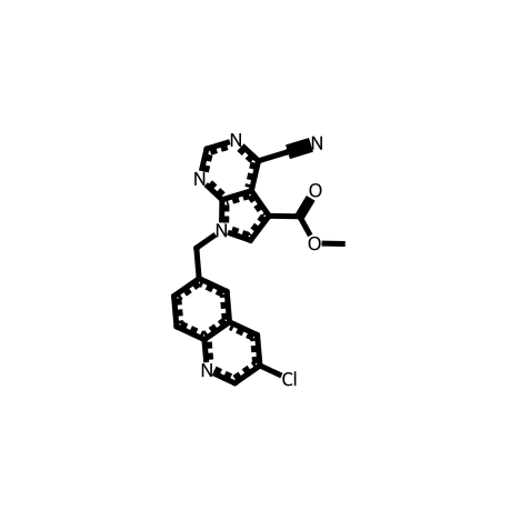 COC(=O)c1cn(Cc2ccc3ncc(Cl)cc3c2)c2ncnc(C#N)c12